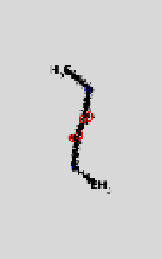 CCCCCCCC/C=C\CCCCCCCC(=O)OCC#CCOC(=O)CCCCCCC/C=C\CCCCCCCC